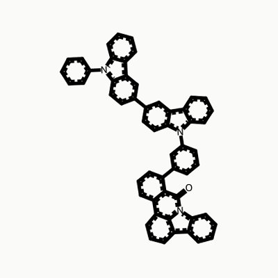 O=c1c2c(-c3cccc(-n4c5ccccc5c5cc(-c6ccc7c(c6)c6ccccc6n7-c6ccccc6)ccc54)c3)cccc2c2cccc3c4ccccc4n1c23